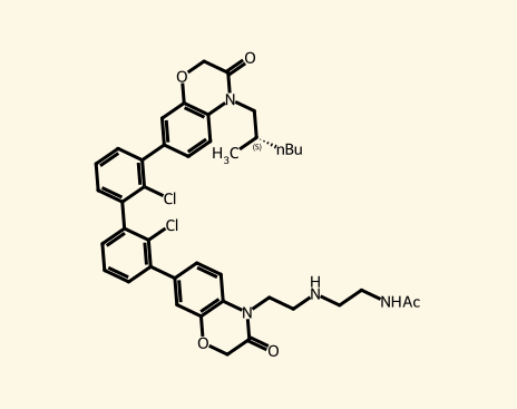 CCCC[C@H](C)CN1C(=O)COc2cc(-c3cccc(-c4cccc(-c5ccc6c(c5)OCC(=O)N6CCNCCNC(C)=O)c4Cl)c3Cl)ccc21